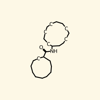 O=C(NC1CCCCCCCCCCCC1)C1CCCCCCCCCC1